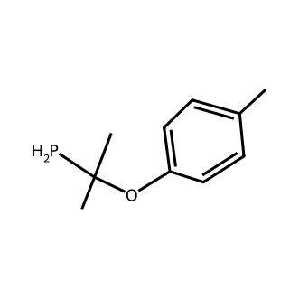 Cc1ccc(OC(C)(C)P)cc1